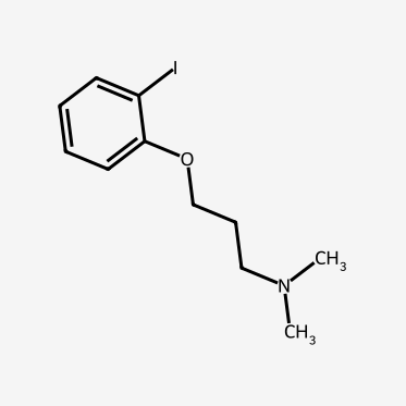 CN(C)CCCOc1ccccc1I